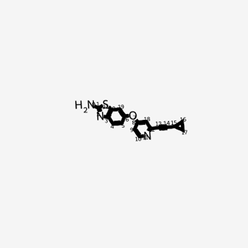 Nc1nc2ccc(Oc3ccnc(C#CC4CC4)c3)cc2s1